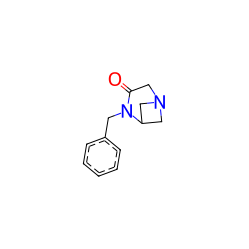 O=C1CN2CC(C2)N1Cc1ccccc1